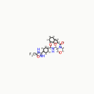 O=C(NCC1COCCN1C(=O)c1cc2ccccc2o1)c1ccc(C2NOC(C(F)(F)F)N2)cc1